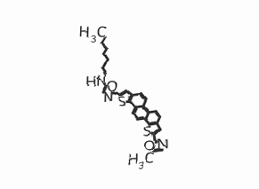 CCCCCCCCNc1cnc(-c2cc3ccc4c5ccc6cc(-c7ncc(C)o7)sc6c5ccc4c3s2)o1